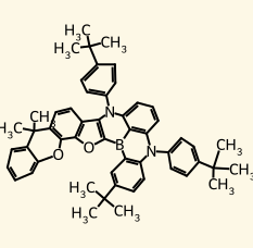 CC(C)(C)c1ccc(N2c3ccc(C(C)(C)C)cc3B3c4oc5c6c(ccc5c4N(c4ccc(C(C)(C)C)cc4)c4cccc2c43)C(C)(C)c2ccccc2O6)cc1